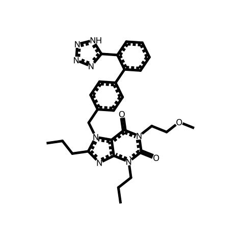 CCCc1nc2c(c(=O)n(CCOC)c(=O)n2CCC)n1Cc1ccc(-c2ccccc2-c2nnn[nH]2)cc1